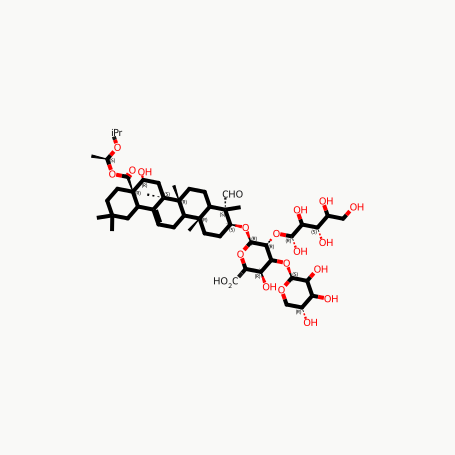 CC(C)O[C@H](C)OC(=O)[C@]12CCC(C)(C)CC1C1=CCC3[C@@]4(C)CC[C@H](O[C@@H]5OC(C(=O)O)[C@H](O)C(O[C@@H]6OC[C@@H](O)C(O)C6O)[C@H]5O[C@@H](O)C(O)[C@@H](O)C(O)CO)[C@@](C)(C=O)C4CC[C@@]3(C)[C@]1(C)C[C@H]2O